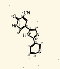 Cc1[nH]c(=O)c(C#N)cc1-c1cnc(-c2cccnc2)[nH]1